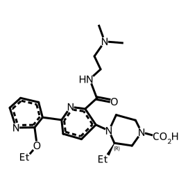 CCOc1ncccc1-c1ccc(N2CCN(C(=O)O)C[C@H]2CC)c(C(=O)NCCN(C)C)n1